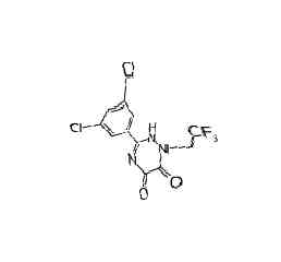 O=c1nc(-c2cc(Cl)cc(Cl)c2)[nH]n(CC(F)(F)F)c1=O